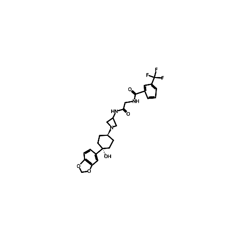 O=C(CNC(=O)c1cccc(C(F)(F)F)c1)NC1CN([C@H]2CC[C@@](O)(c3ccc4c(c3)OCO4)CC2)C1